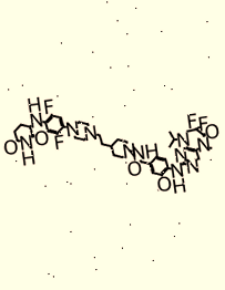 COc1cc(C(=O)NN2CCC(CCN3CCN(c4cc(F)c(NC5CCC(=O)NC5=O)cc4F)CC3)CC2)ccc1Nc1ncc2c(n1)N(C(C)C)CC(F)(F)C(=O)N2C